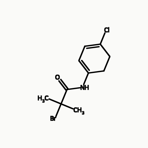 CC(C)(Br)C(=O)NC1=CC=C(Cl)CC1